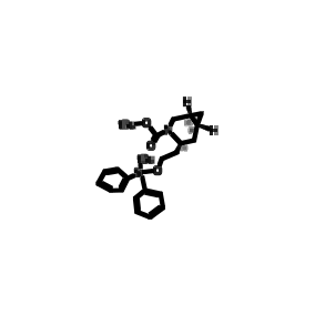 CC(C)(C)OC(=O)N1C[C@@H]2C[C@@H]2C[C@H]1CCO[Si](c1ccccc1)(c1ccccc1)C(C)(C)C